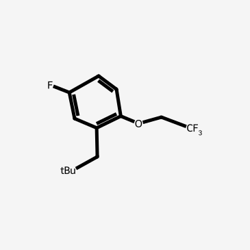 CC(C)(C)Cc1cc(F)ccc1OCC(F)(F)F